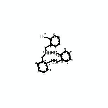 Oc1ccccc1CNCc1ccccc1NCc1ccccc1O